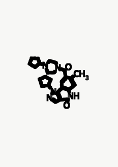 Cc1cc2[nH]c(=O)c3cnn(C4CCCC4)c3c2cc1C(=O)N1CCN(C2CCCC2)CC1